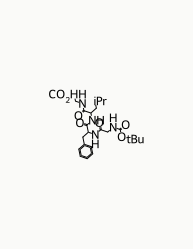 CC(C)CC(NC(=O)C(Cc1ccccc1)NC(=O)CNC(=O)OC(C)(C)C)C(=O)NCC(=O)O